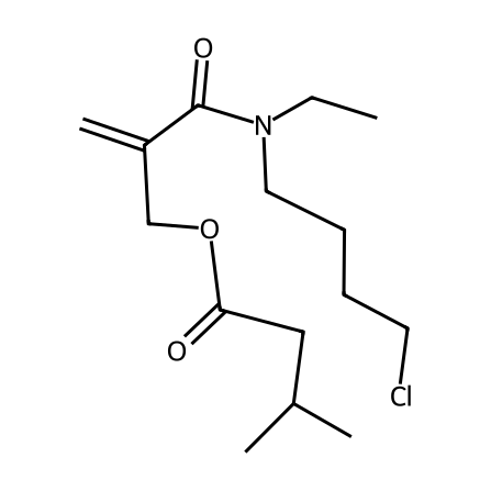 C=C(COC(=O)CC(C)C)C(=O)N(CC)CCCCCl